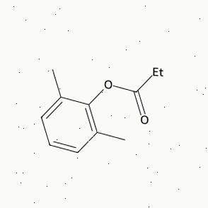 CCC(=O)Oc1c(C)cccc1C